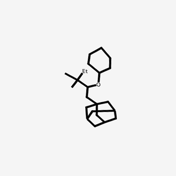 CCC(C)(C)C(CC12CC3CC(CC(C3)C1)C2)OC1CCCCC1